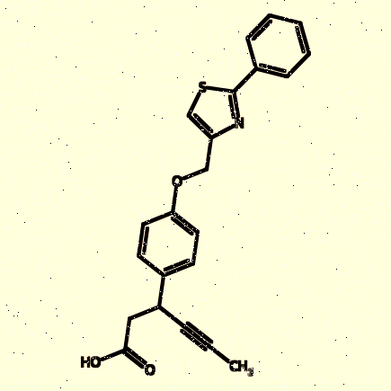 CC#CC(CC(=O)O)c1ccc(OCc2csc(-c3ccccc3)n2)cc1